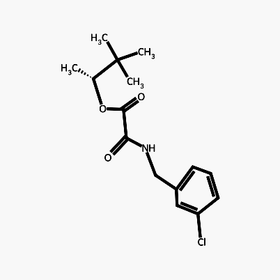 C[C@@H](OC(=O)C(=O)NCc1cccc(Cl)c1)C(C)(C)C